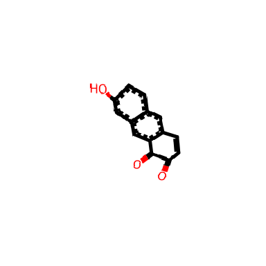 O=C1C=Cc2cc3ccc(O)cc3cc2C1=O